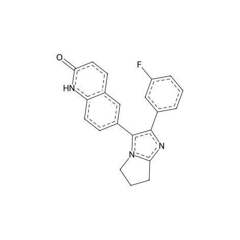 O=c1ccc2cc(-c3c(-c4cccc(F)c4)nc4n3CCC4)ccc2[nH]1